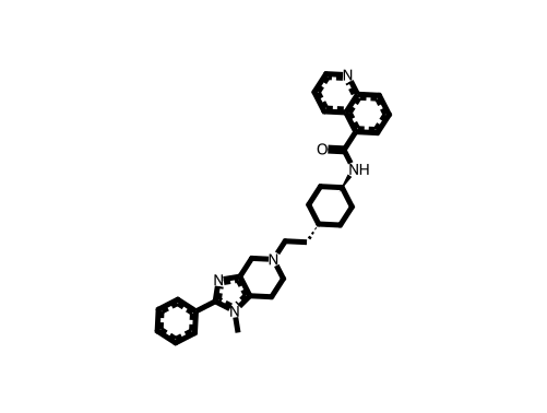 Cn1c(-c2ccccc2)nc2c1CCN(CC[C@H]1CC[C@H](NC(=O)c3cccc4ncccc34)CC1)C2